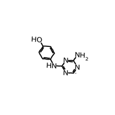 Nc1n[c]nc(Nc2ccc(O)cc2)n1